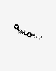 O=C(O)Nc1ccc(CC(=O)NOCc2ccccc2)cc1